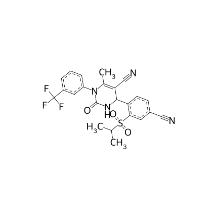 CC1=C(C#N)C(c2ccc(C#N)cc2S(=O)(=O)C(C)C)NC(=O)N1c1cccc(C(F)(F)F)c1